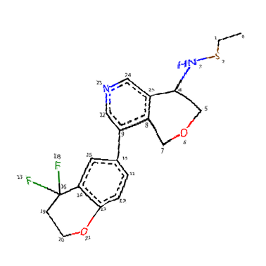 CCSNC1COCc2c(-c3ccc4c(c3)C(F)(F)CCO4)cncc21